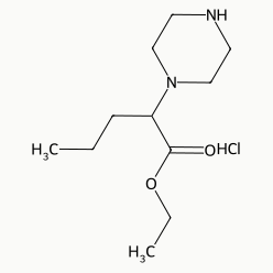 CCCC(C(=O)OCC)N1CCNCC1.Cl